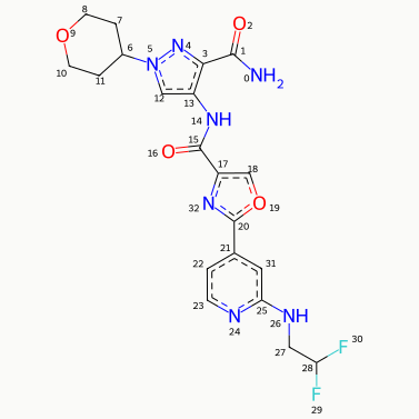 NC(=O)c1nn(C2CCOCC2)cc1NC(=O)c1coc(-c2ccnc(NCC(F)F)c2)n1